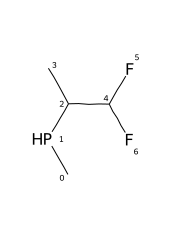 CPC(C)C(F)F